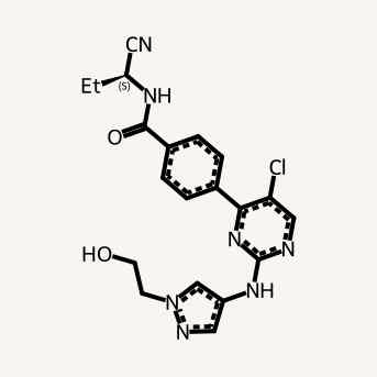 CC[C@@H](C#N)NC(=O)c1ccc(-c2nc(Nc3cnn(CCO)c3)ncc2Cl)cc1